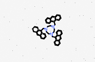 C1=Cc2c(cc3ccccc3c2CN2CCN(Cc3c4ccccc4cc4ccccc34)CCN(Cc3c4ccccc4cc4ccccc34)CC2)CC1